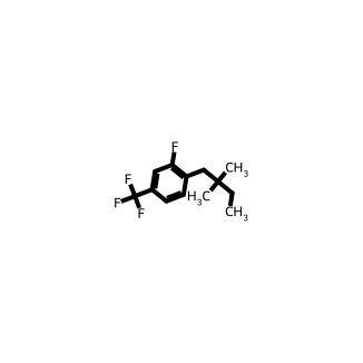 CCC(C)(C)Cc1ccc(C(F)(F)F)cc1F